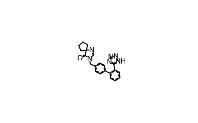 O=C1N(Cc2ccc(-c3ccccc3-c3nnn[nH]3)cc2)C=NC12CCCC2